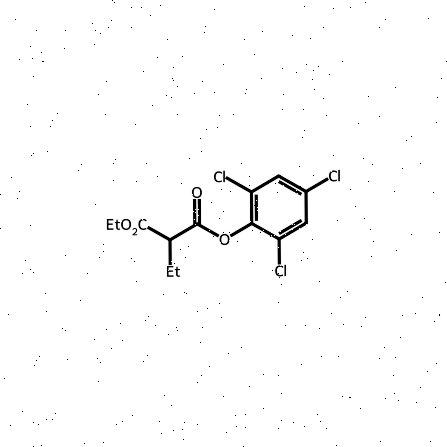 CCOC(=O)C(CC)C(=O)Oc1c(Cl)cc(Cl)cc1Cl